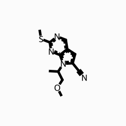 COCC(C)n1c(C#N)cc2cnc(SC)nc21